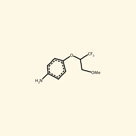 COCC(Oc1ccc(N)cc1)C(F)(F)F